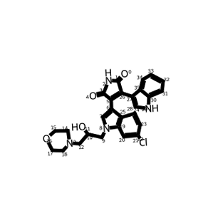 O=C1NC(=O)C(c2cn(CC(O)CN3CCOCC3)c3cc(Cl)ccc23)=C1c1c[nH]c2ccccc12